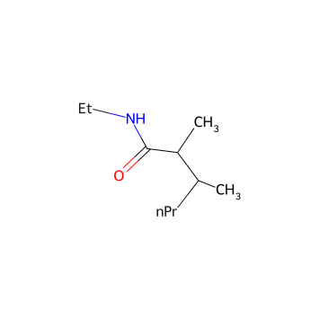 CCCC(C)C(C)C(=O)NCC